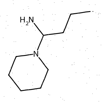 [CH2]CCC(N)N1CCCCC1